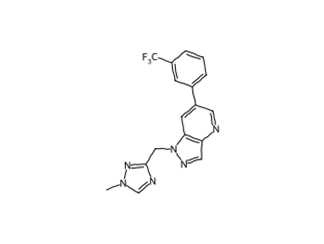 Cn1cnc(Cn2ncc3ncc(-c4cccc(C(F)(F)F)c4)cc32)n1